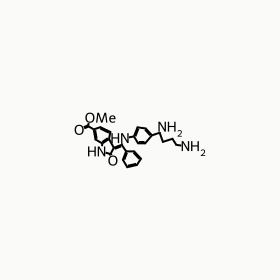 COC(=O)c1ccc2c(c1)NC(=O)C2=C(Nc1ccc(C(N)CCCN)cc1)c1ccccc1